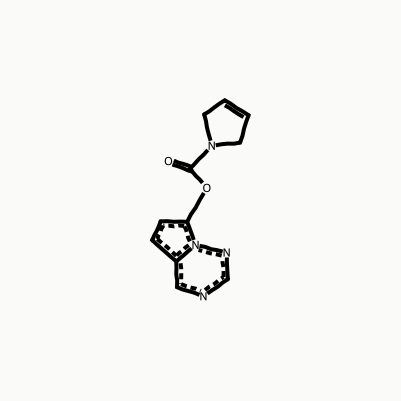 O=C(Oc1ccc2cncnn12)N1CC=CC1